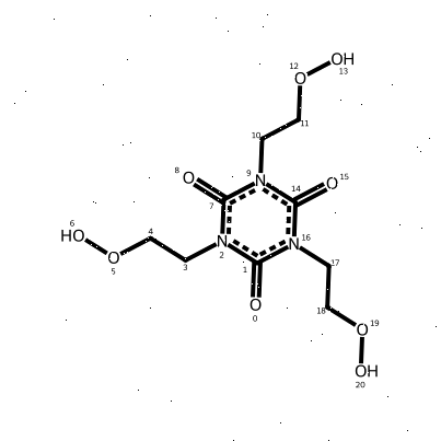 O=c1n(CCOO)c(=O)n(CCOO)c(=O)n1CCOO